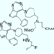 COCCN(CCOC)CC1CCN(c2ncnc3scc(-c4ccccc4)c23)CC1.FC(F)CNCC1CCN(c2ncnc3scc(-c4ccccc4)c23)CC1